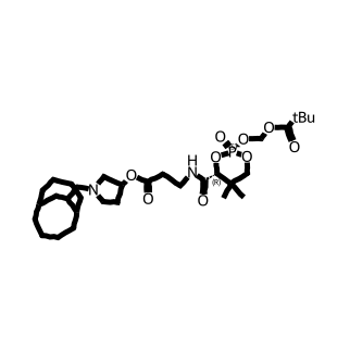 CC(C)(C)C(=O)OCO[P@@]1(=O)OCC(C)(C)[C@H](C(=O)NCCC(=O)OC2CCN(CC3CC4CCCCC3CCCC4)C2)O1